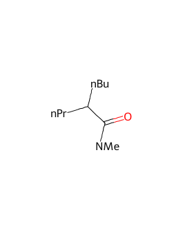 [CH2]CCCC(CCC)C(=O)NC